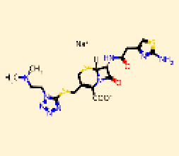 CN(C)CCn1nnnc1SCC1=C(C(=O)[O-])N2C(=O)[C@@H](NC(=O)Cc3csc(N)n3)[C@H]2SC1.[Na+]